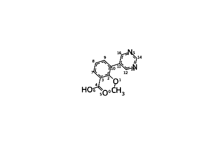 COc1c(C(=O)O)cccc1-c1cncnc1